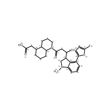 CC(CC(=O)N1CCCC2C(CC(=O)O)CCCC21)C1CN(C)c2cccc(-c3ccc(F)o3)c21